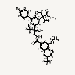 COc1cc(C(=O)NCC(O)(c2cc3c(c(-c4ccc(F)cc4)n2)OCC3(C(N)=O)C(F)F)C(F)(F)F)cc2cc(C(F)(F)F)cnc12